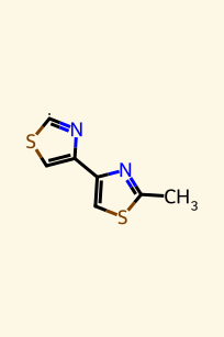 Cc1nc(-c2cs[c]n2)cs1